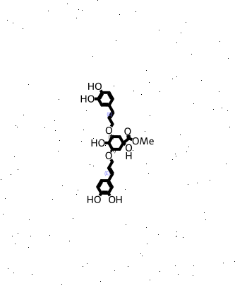 COC(=O)C1(O)C[C@@H](OC/C=C/c2ccc(O)c(O)c2)C(O)[C@H](OC/C=C/c2ccc(O)c(O)c2)C1